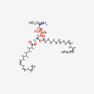 CC/C=C\C/C=C\C/C=C\CCCCCCCC(=O)OC[C@H](COP(=O)(O)OC[C@H](N)C(=O)O)OC(=O)CCCCCCCCC/C=C\C/C=C\CCCCC